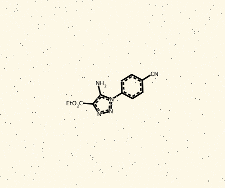 CCOC(=O)c1nnn(-c2ccc(C#N)cc2)c1N